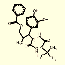 CC(COC(=O)c1ccccc1)C(c1ccc(O)c(O)c1)[C@H](NC(=O)OC(C)(C)C)C(=O)O